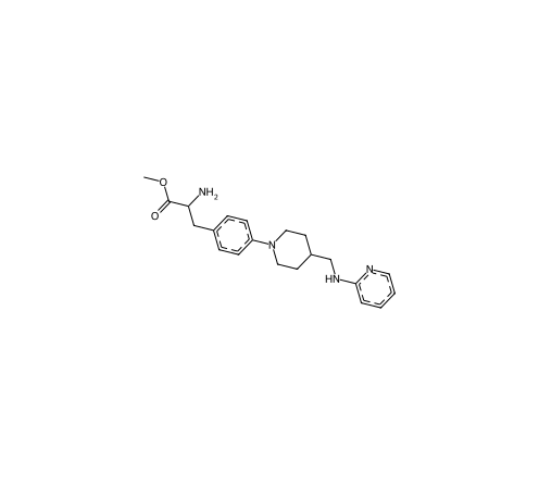 COC(=O)C(N)Cc1ccc(N2CCC(CNc3ccccn3)CC2)cc1